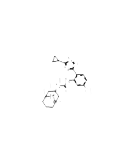 CN1[C@@H]2CCC[C@H]1C[C@@H](NC(=O)Nc1cc(Cl)ccc1-c1nc(C3CC3)no1)C2